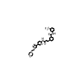 O=C(/C=C/c1cccc(C(=O)Nc2cccc(C(F)(F)F)c2)c1)Nc1ccc(-c2cn(CCN3CCOCC3)nn2)cn1